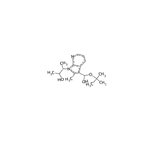 Cc1c(C(O)OC(C)(C)C)c2cccnc2n1C(C)C(C)O